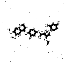 CCOc1cn(-c2ccc(F)cc2Cl)nc1C(=O)Nc1ccc(Oc2ccnc3cc(OC)c(OC)cc23)c(F)c1